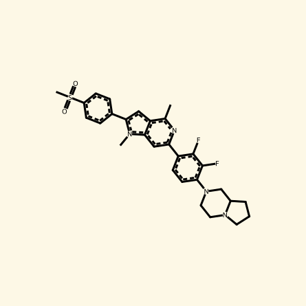 Cc1nc(-c2ccc(N3CCN4CCCC4C3)c(F)c2F)cc2c1cc(-c1ccc(S(C)(=O)=O)cc1)n2C